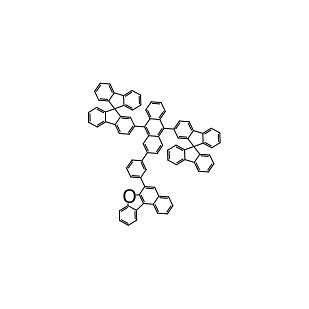 c1cc(-c2ccc3c(-c4ccc5c(c4)C4(c6ccccc6-c6ccccc64)c4ccccc4-5)c4ccccc4c(-c4ccc5c(c4)C4(c6ccccc6-c6ccccc64)c4ccccc4-5)c3c2)cc(-c2cc3ccccc3c3c2oc2ccccc23)c1